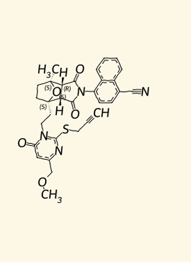 C#CCSc1nc(COC)cc(=O)n1CC[C@]12CC[C@](C)(O1)[C@@H]1C(=O)N(c3ccc(C#N)c4ccccc34)C(=O)[C@@H]12